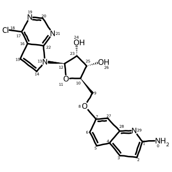 Nc1ccc2ccc(OC[C@H]3O[C@@H](n4ccc5c(Cl)ncnc54)[C@H](O)[C@@H]3O)cc2n1